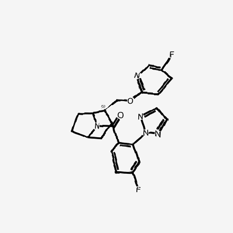 O=C(c1ccc(F)cc1-n1nccn1)N1C2CCC1[C@@H](COc1ccc(F)cn1)CC2